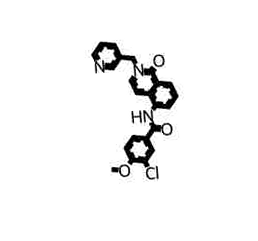 COc1ccc(C(=O)Nc2cccc3c(=O)n(Cc4cccnc4)ccc23)cc1Cl